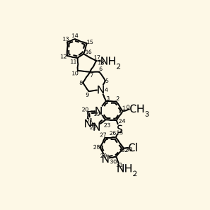 Cc1cc(N2CCC3(CC2)Cc2ccccc2[C@H]3N)n2cnnc2c1Sc1ccnc(N)c1Cl